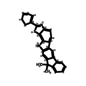 CC1(C)c2ccccc2-c2cc3c(cc21)[nH]c1c3ccc2nc(C3=CC=CCC3)sc21